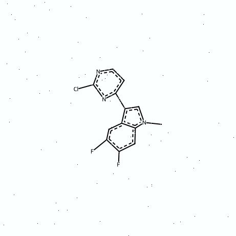 Cn1cc(-c2ccnc(Cl)n2)c2cc(F)c(F)cc21